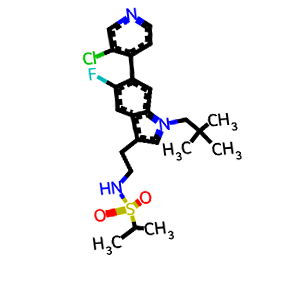 CC(C)S(=O)(=O)NCCc1cn(CC(C)(C)C)c2cc(-c3ccncc3Cl)c(F)cc12